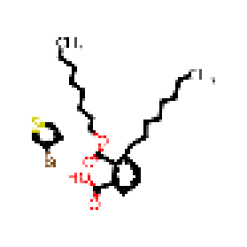 Brc1ccsc1.CCCCCCCCOC(=O)c1c(CCCCCCCC)cccc1C(=O)O